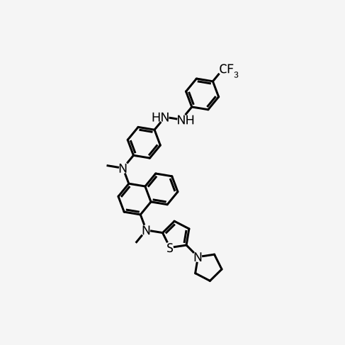 CN(c1ccc(NNc2ccc(C(F)(F)F)cc2)cc1)c1ccc(N(C)c2ccc(N3CCCC3)s2)c2ccccc12